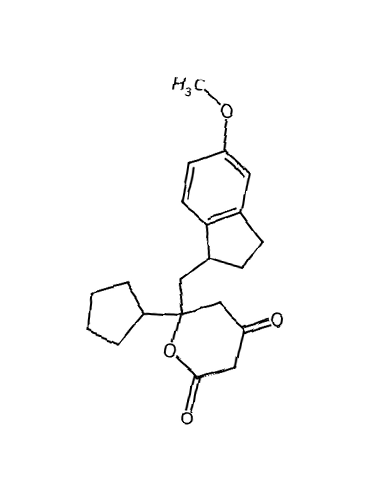 COc1ccc2c(c1)CCC2CC1(C2CCCC2)CC(=O)CC(=O)O1